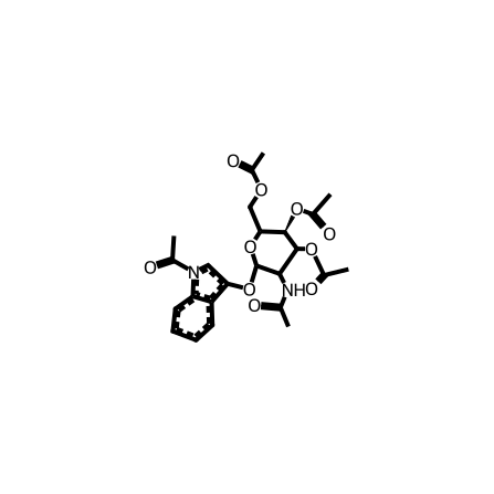 CC(=O)NC1C(Oc2cn(C(C)=O)c3ccccc23)OC(COC(C)=O)[C@@H](OC(C)=O)C1OC(C)=O